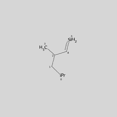 CC(C)CC(C)C=[SiH2]